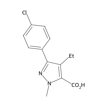 CCc1c(-c2ccc(Cl)cc2)nn(C)c1C(=O)O